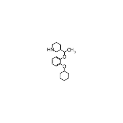 CC(Oc1ccccc1OC1CCCCC1)C1CCCNC1